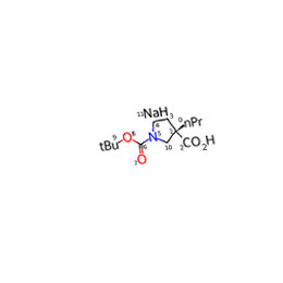 CCC[C@]1(C(=O)O)CCN(C(=O)OC(C)(C)C)C1.[NaH]